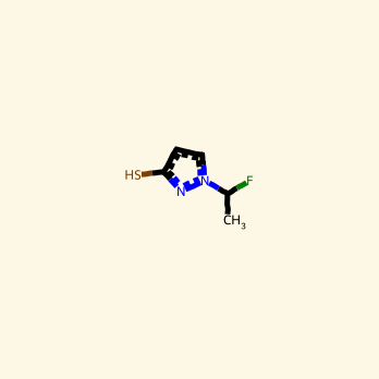 CC(F)n1ccc(S)n1